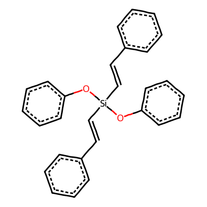 C(=C[Si](C=Cc1ccccc1)(Oc1ccccc1)Oc1ccccc1)c1ccccc1